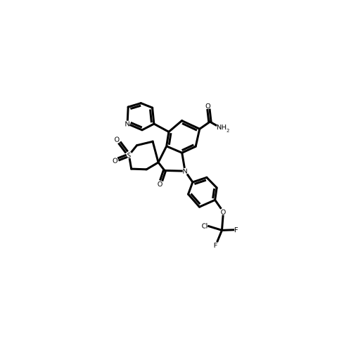 NC(=O)c1cc(-c2cccnc2)c2c(c1)N(c1ccc(OC(F)(F)Cl)cc1)C(=O)C21CCS(=O)(=O)CC1